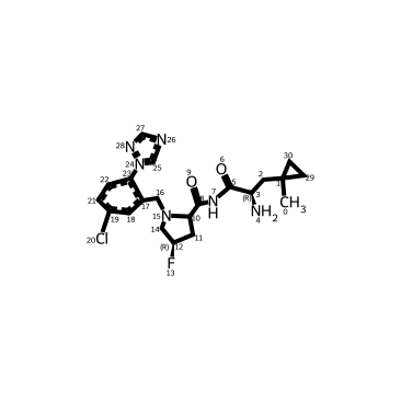 CC1(C[C@@H](N)C(=O)NC(=O)C2C[C@@H](F)CN2Cc2cc(Cl)ccc2-n2cncn2)CC1